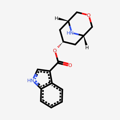 O=C(O[C@H]1C[C@H]2COC[C@@H](C1)N2)c1c[nH]c2ccccc12